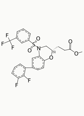 COC(=O)CC[C@H]1CN(S(=O)(=O)c2cccc(C(F)(F)F)c2)c2cc(-c3cccc(F)c3F)ccc2O1